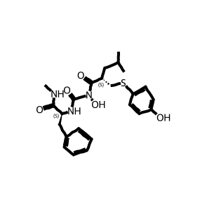 CNC(=O)[C@H](Cc1ccccc1)NC(=O)N(O)C(=O)[C@@H](CSc1ccc(O)cc1)CC(C)C